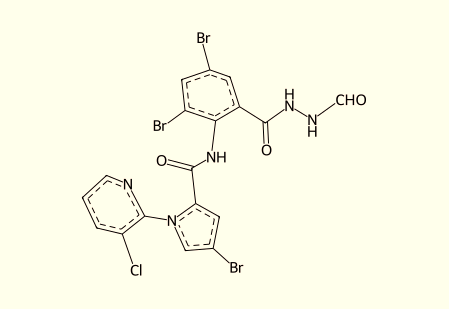 O=CNNC(=O)c1cc(Br)cc(Br)c1NC(=O)c1cc(Br)cn1-c1ncccc1Cl